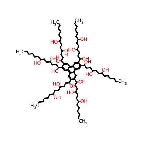 CCCCCCC(O)CCC(O)CCC(O)c1cc2c3cc(C(O)CCC(O)CCC(O)CCCCCC)c(C(O)CCC(O)CCC(O)CCCCCC)cc3c3cc(C(O)CCC(O)CCC(O)CCCCCC)c(C(O)CCC(O)CCC(O)CCCCCC)cc3c2cc1C(O)CCC(O)CCC(O)CCCCCC